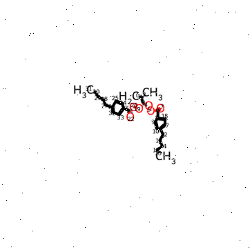 [CH2]C(C)[C](OOC(=O)c1ccc(CCCCC)cc1)OOC(=O)c1ccc(CCCCC)cc1